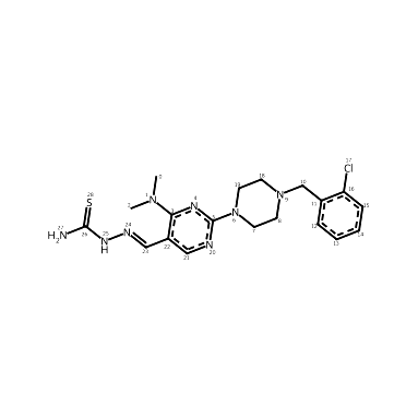 CN(C)c1nc(N2CCN(Cc3ccccc3Cl)CC2)ncc1C=NNC(N)=S